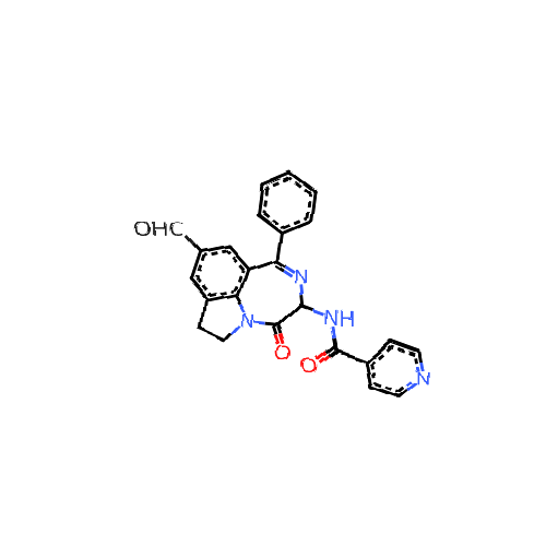 O=Cc1cc2c3c(c1)C(c1ccccc1)=NC(NC(=O)c1ccncc1)C(=O)N3CC2